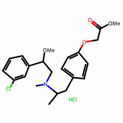 COC(=O)COc1ccc(CC(C)N(C)CC(OC)c2cccc(Cl)c2)cc1.Cl